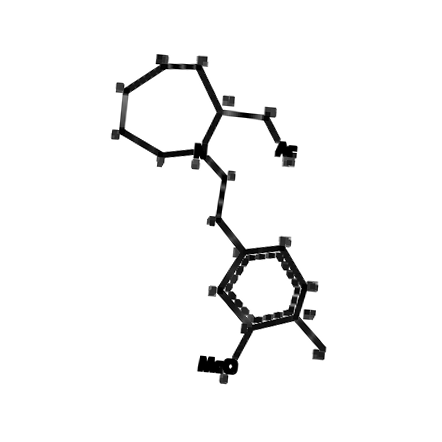 COc1cc(CCN2CCCCCC2CC(C)=O)ccc1C